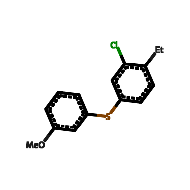 CCc1ccc(Sc2cccc(OC)c2)cc1Cl